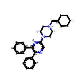 c1ccc(-c2ncc(N3CCN(CC4CCCCC4)CC3)nc2-c2ccccc2)cc1